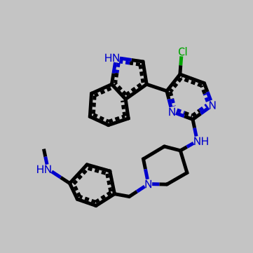 CNc1ccc(CN2CCC(Nc3ncc(Cl)c(-c4c[nH]c5ccccc45)n3)CC2)cc1